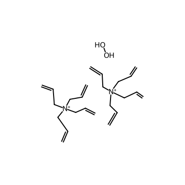 C=CC[N+](CC=C)(CC=C)CC=C.C=CC[N+](CC=C)(CC=C)CC=C.OO